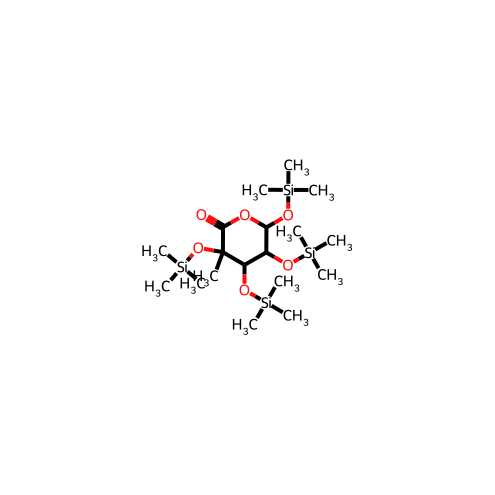 CC1(O[Si](C)(C)C)C(=O)OC(O[Si](C)(C)C)C(O[Si](C)(C)C)C1O[Si](C)(C)C